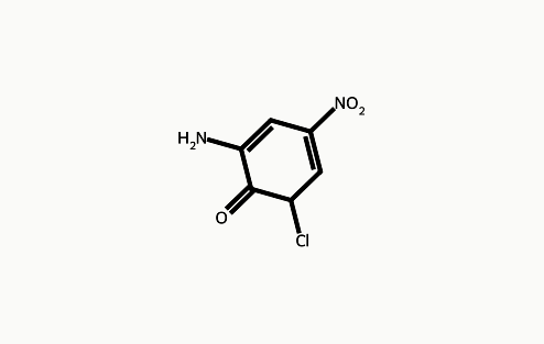 NC1=CC([N+](=O)[O-])=CC(Cl)C1=O